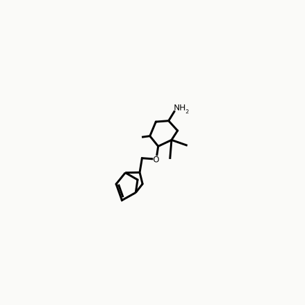 CC1CC(N)CC(C)(C)C1OCC1CC2C=CC1C2